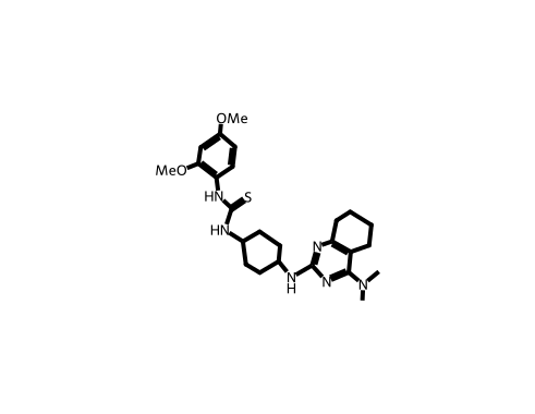 COc1ccc(NC(=S)NC2CCC(Nc3nc4c(c(N(C)C)n3)CCCC4)CC2)c(OC)c1